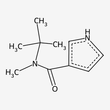 CN(C(=O)c1cc[nH]c1)C(C)(C)C